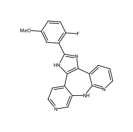 COc1ccc(F)c(-c2nc3c([nH]2)-c2ccncc2Nc2ncccc2-3)c1